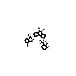 O=C(Oc1ccc2c(F)c(F)c3ccc(OC(=O)c4cccc(F)c4F)cc3c2c1)c1cccc(F)c1F